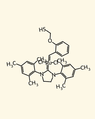 Cc1cc(C)c(N2CCN(c3c(C)cc(C)cc3C)[C]2=[Ru]([Cl])([Cl])=[CH]c2ccccc2OCS)c(C)c1